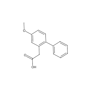 COc1ccc(-c2ccccc2)c(CC(=O)O)c1